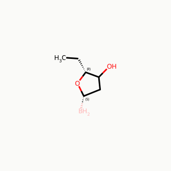 B[C@H]1CC(O)[C@@H](CC)O1